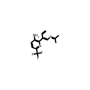 C=C/C(=C\N=C(C)C)c1nc(C(F)(F)F)ccc1N